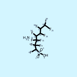 N.O=S(=O)(O)C(F)C(F)(F)C(F)(F)C(F)C(F)C(F)C(F)F